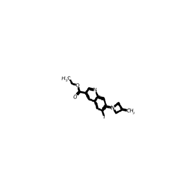 CCOC(=O)c1cnc2cc(N3CC(C)C3)c(I)cc2c1